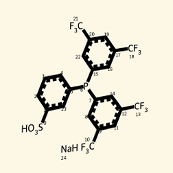 O=S(=O)(O)c1cccc(P(c2cc(C(F)(F)F)cc(C(F)(F)F)c2)c2cc(C(F)(F)F)cc(C(F)(F)F)c2)c1.[NaH]